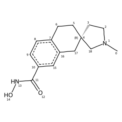 CN1CC[C@]2(CCc3ccc(C(=O)NO)cc3C2)C1